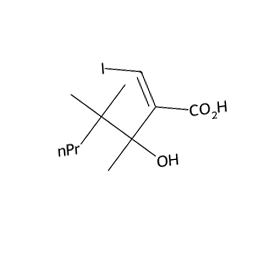 CCCC(C)(C)C(C)(O)/C(=C\I)C(=O)O